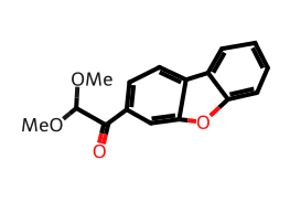 COC(OC)C(=O)c1ccc2c(c1)oc1ccccc12